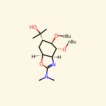 CCCCO[C@@H]1[C@H]2N=C(N(C)C)O[C@H]2C[C@H](C(C)(C)O)[C@H]1OCCCC